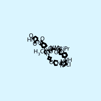 CNC(=O)COc1cc2cc(Nc3nc(N4CCC(OC5CC(N6C[C@@H](C)N(c7ccc8c(c7)CN(C7CCC(=O)NC7=O)C8=O)[C@@H](C)C6)C5)CC4)ncc3Cl)ccc2n(C(C)C)c1=O